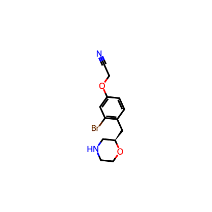 N#CCOc1ccc(C[C@@H]2CNCCO2)c(Br)c1